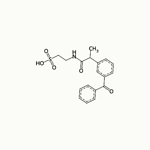 CC(C(=O)NCCS(=O)(=O)O)c1cccc(C(=O)c2ccccc2)c1